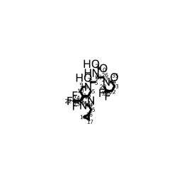 O=C(O)N[C@@H](CC(O)N1CCc2c(nc(CC3CC3)nc2C(F)(F)F)C1)CN1CC(F)(F)CCC1=O